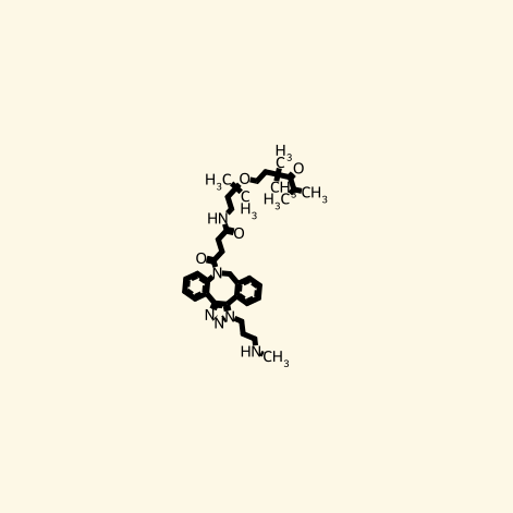 CNCCCn1nnc2c1-c1ccccc1CN(C(=O)CCC(=O)NCCC(C)(C)OCCC(C)(C)C(=O)C(C)C)c1ccccc1-2